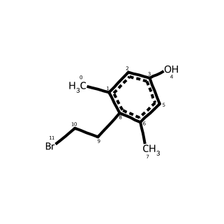 Cc1cc(O)cc(C)c1CCBr